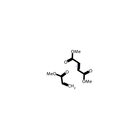 C=CC(=O)OC.COC(=O)/C=C/C(=O)OC